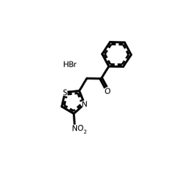 Br.O=C(Cc1nc([N+](=O)[O-])cs1)c1ccccc1